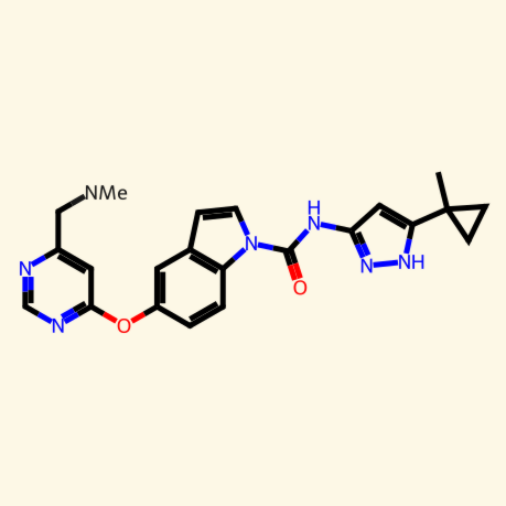 CNCc1cc(Oc2ccc3c(ccn3C(=O)Nc3cc(C4(C)CC4)[nH]n3)c2)ncn1